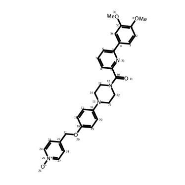 COc1ccc(-c2cccc(C(=O)N3CCN(c4ccc(OCc5cc[n+]([O-])cc5)cc4)CC3)n2)cc1OC